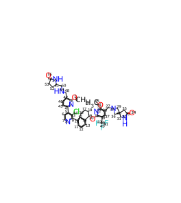 COc1nc(-c2ccnc(-c3cccc4c3CCC[C@@H]4Oc3nc(OC)c(CN4CC5(CNC(=O)C5)C4)cc3C(F)(F)F)c2Cl)ccc1CNC[C@H]1CCC(=O)N1